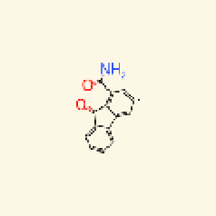 NC(=O)c1c[c]cc2c1C(=O)c1ccccc1-2